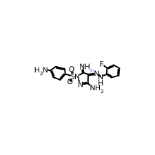 N=C1/C(=N/Nc2ccccc2F)C(N)=NN1S(=O)(=O)c1ccc(N)cc1